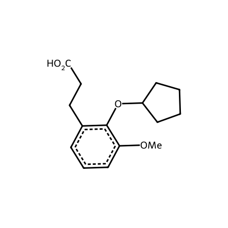 COc1cccc(CCC(=O)O)c1OC1CCCC1